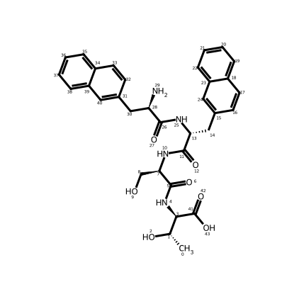 C[C@H](O)[C@@H](NC(=O)[C@@H](CO)NC(=O)[C@@H](Cc1ccc2ccccc2c1)NC(=O)[C@H](N)Cc1ccc2ccccc2c1)C(=O)O